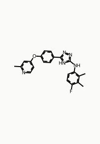 Cc1cc(Oc2ccc(-c3nnc(Nc4ccc(F)c(C)c4C)[nH]3)cc2)ccn1